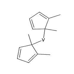 CC1=CC=C[C]1(C)[V][C]1(C)C=CC=C1C